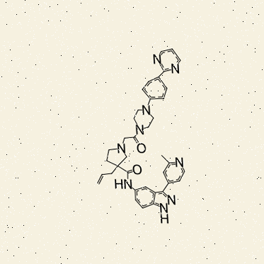 C=CCC1(C(=O)Nc2ccc3[nH]nc(-c4ccnc(C)c4)c3c2)CCN(CC(=O)N2CCN(c3ccc(-c4ncccn4)cc3)CC2)C1